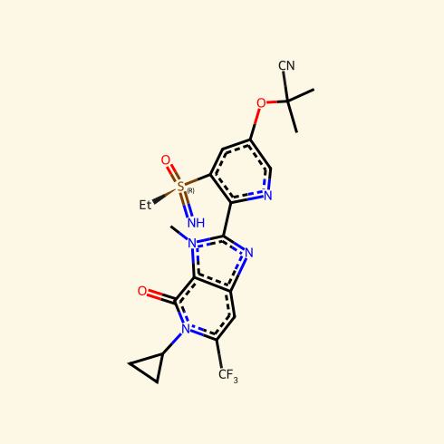 CC[S@@](=N)(=O)c1cc(OC(C)(C)C#N)cnc1-c1nc2cc(C(F)(F)F)n(C3CC3)c(=O)c2n1C